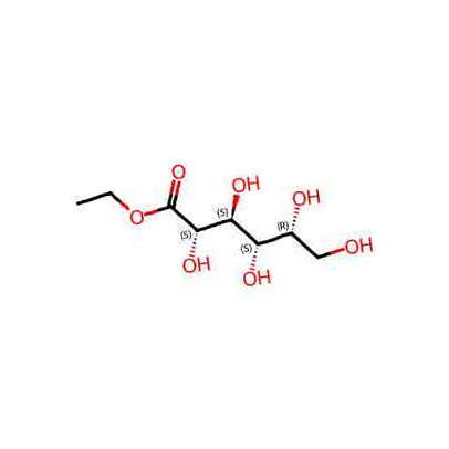 CCOC(=O)[C@@H](O)[C@@H](O)[C@@H](O)[C@H](O)CO